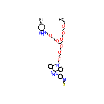 C#CCOCCOCCOCC(COCCCOCCn1nnc2c1CCC1C(CC)C1CC2)OCCOCCOCCN1Cc2ccccc2-c2nnn(-c3ccc(N=C=S)cc3)c2-c2ccccc21